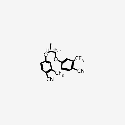 C[C@H](Oc1ccc(C#N)c(C(F)(F)F)c1)[C@H](C)Oc1ccc(C#N)c(C(F)(F)F)c1